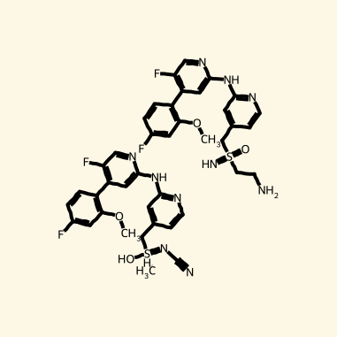 COc1cc(F)ccc1-c1cc(Nc2cc(CS(=N)(=O)CCN)ccn2)ncc1F.COc1cc(F)ccc1-c1cc(Nc2cc(C[SH](C)(O)=NC#N)ccn2)ncc1F